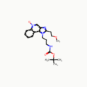 COCCc1nc2c[n+]([O-])c3ccccc3c2n1CCCNC(=O)OC(C)(C)C